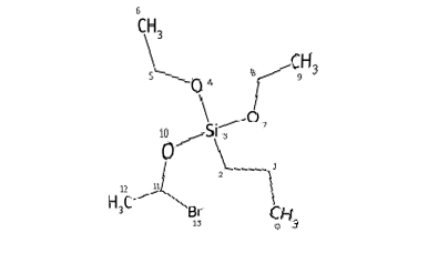 CCC[Si](OCC)(OCC)OC(C)Br